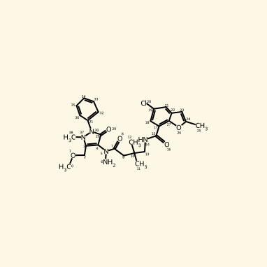 COCc1c(N(N)C(=O)CC(C)(C)CNC(=O)c2cc(Cl)cc3cc(C)oc23)c(=O)n(-c2ccccc2)n1C